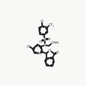 COCN(c1cc(Cl)cnc1C1OC(=O)c2ccccc21)S(=O)(=O)c1ccc(Cl)c(C(F)(F)F)c1